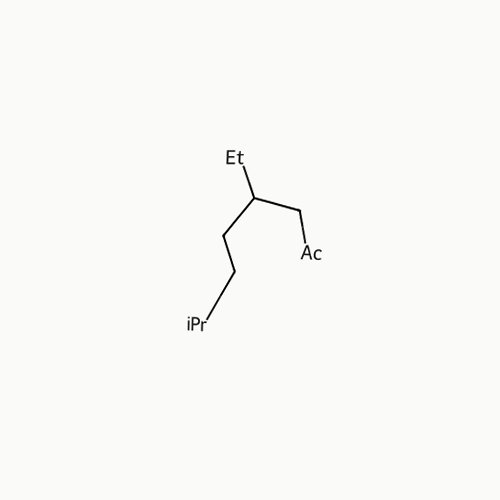 CCC(CCC(C)C)CC(C)=O